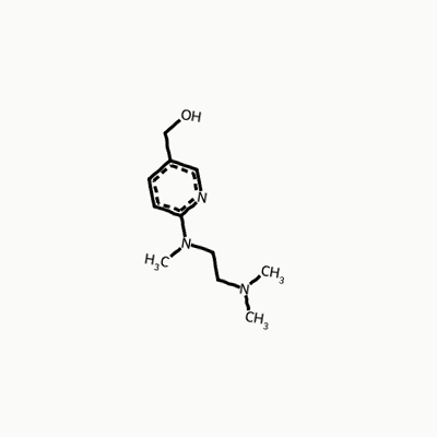 CN(C)CCN(C)c1ccc(CO)cn1